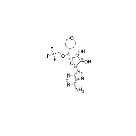 Nc1ncnc2c1ncn2[C@@H]1O[C@H](C(OCC(F)(F)F)C2CCOCC2)[C@@H](O)[C@H]1O